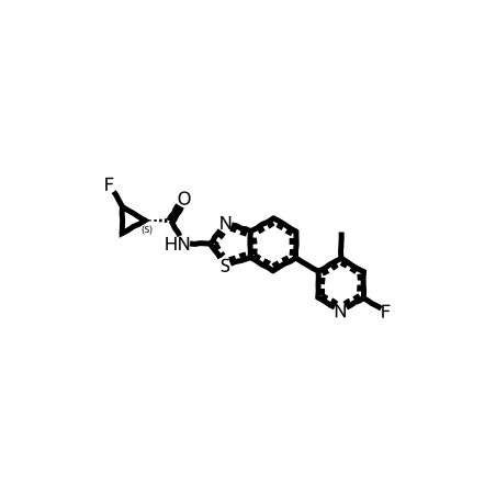 Cc1cc(F)ncc1-c1ccc2nc(NC(=O)[C@@H]3CC3F)sc2c1